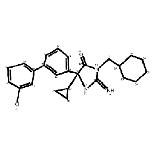 N=C1NC(c2cccc(-c3cccc(Cl)c3)c2)(C2CC2)C(=O)N1CC1CCCCC1